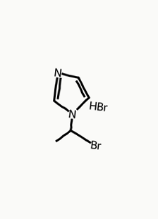 Br.CC(Br)n1ccnc1